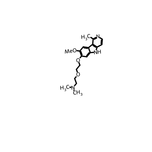 COc1cc2c(cc1OCCOCCN(C)C)[nH]c1ccnc(C)c12